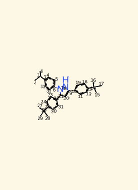 CC(C)c1ccc(N2NC(c3ccc(C(C)(C)C)cc3)=CC2c2ccc(C(C)(C)C)cc2)cc1